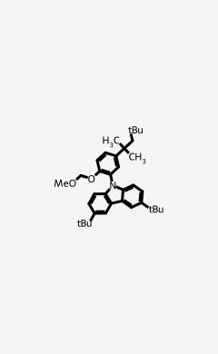 COCOc1ccc(C(C)(C)CC(C)(C)C)cc1-n1c2ccc(C(C)(C)C)cc2c2cc(C(C)(C)C)ccc21